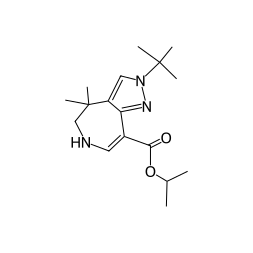 CC(C)OC(=O)C1=CNCC(C)(C)c2cn(C(C)(C)C)nc21